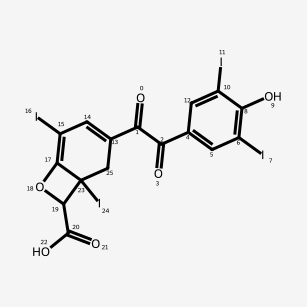 O=C(C(=O)c1cc(I)c(O)c(I)c1)C1=CC(I)=C2OC(C(=O)O)C2(I)C1